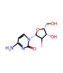 Nc1ccn([C@@H]2O[C@H](CO)[C@H](O)C2I)c(=O)n1